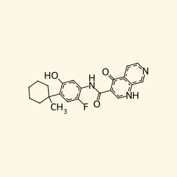 CC1(c2cc(F)c(NC(=O)c3c[nH]c4cnccc4c3=O)cc2O)CCCCC1